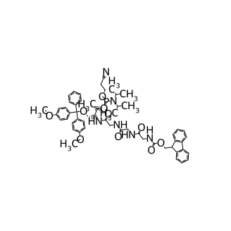 COc1ccc(C(OC[C@@H](NC(=O)CNC(=O)CNC(=O)CNC(=O)OCC2c3ccccc3-c3ccccc32)[C@@H](C)OP(OCCC#N)N(C(C)C)C(C)C)(c2ccccc2)c2ccc(OC)cc2)cc1